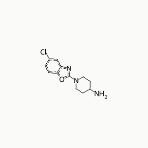 NC1CCN(c2nc3cc(Cl)ccc3o2)CC1